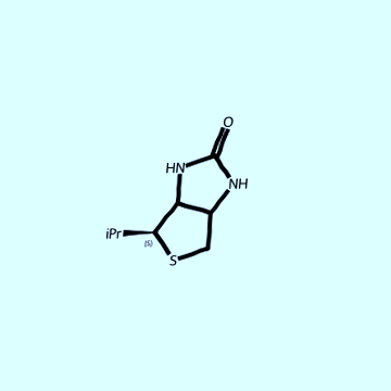 CC(C)[C@@H]1SCC2NC(=O)NC21